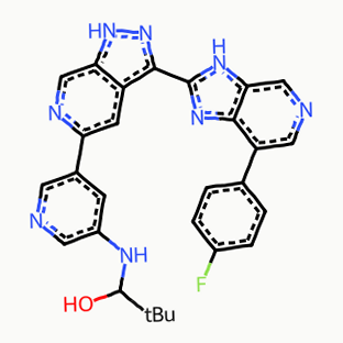 CC(C)(C)C(O)Nc1cncc(-c2cc3c(-c4nc5c(-c6ccc(F)cc6)cncc5[nH]4)n[nH]c3cn2)c1